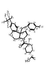 CC(F)(c1ccc2c(c1)OCC1N(C(=O)[C@]3(F)CC[C@@H](C(=O)O)CC3)CCC21Cc1ccc(F)cc1)C(F)(F)F